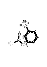 CN(C)C.N.O=S(=O)(O)c1ccccc1